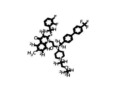 [2H]c1c(C)c([2H])c2c(=O)c([2H])c(SC([2H])([2H])c3cccc(F)c3F)n(CC(=O)N(C3CCN(C([2H])([2H])COC([2H])([2H])[2H])CC3)C([2H])([2H])c3ccc(-c4ccc(C(F)(F)F)cc4)cc3)c2c1[2H]